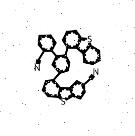 N#Cc1ccc2sc3cccc(-c4ccc(-c5cccc6sc7ccccc7c56)c(-c5ccccc5C#N)c4)c3c2c1